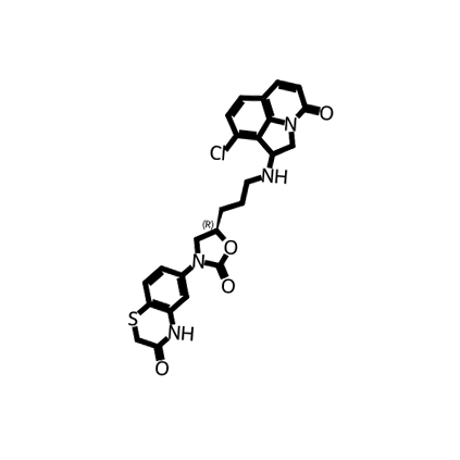 O=C1CSc2ccc(N3C[C@@H](CCCNC4Cn5c(=O)ccc6ccc(Cl)c4c65)OC3=O)cc2N1